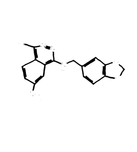 O=[N+]([O-])c1ccc2c(Cl)nnc(NCc3ccc4c(c3)OCO4)c2c1